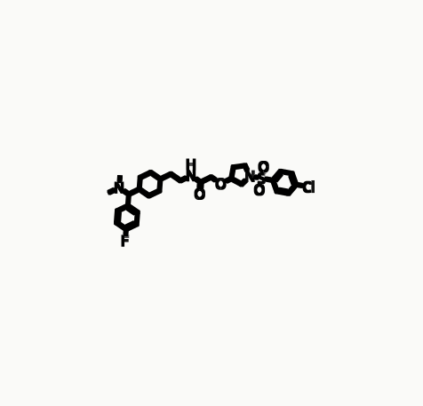 CN(C)C(c1ccc(F)cc1)C1CCC(CCNC(=O)COC2CCN(S(=O)(=O)c3ccc(Cl)cc3)C2)CC1